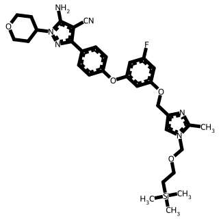 Cc1nc(COc2cc(F)cc(Oc3ccc(-c4nn(C5CCOCC5)c(N)c4C#N)cc3)c2)cn1COCC[Si](C)(C)C